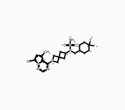 Cc1cc(Cl)n2ncnc(N3CC4(CC(N(CC5CCC(F)(F)CC5)S(N)(=O)=O)C4)C3)c12